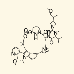 CCn1c(-c2cccnc2[C@H](C)OC)c2c3cc(ccc31)-c1csc(n1)C[C@H](NC(=O)[C@H](C(C)C)N(C)C(=O)N1CC([C@H](C)COC)C1)C(=O)N1CCC[C@@](O)(N1)C(=O)OCC(C)(C)C2